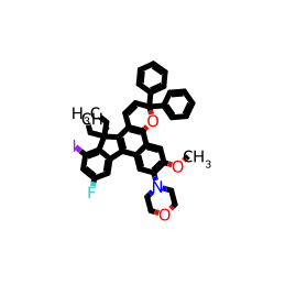 CCC1(CC)c2c(I)cc(F)cc2-c2c1c1c(c3cc(OC)c(N4CCOCC4)cc23)OC(c2ccccc2)(c2ccccc2)C=C1